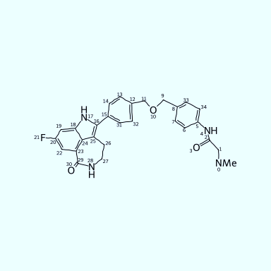 CNCC(=O)Nc1ccc(COCc2ccc(-c3[nH]c4cc(F)cc5c4c3CCNC5=O)cc2)cc1